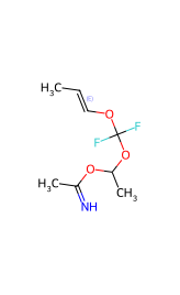 C/C=C/OC(F)(F)OC(C)OC(C)=N